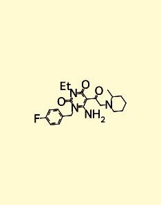 CCn1c(=O)c(C(=O)CN2CCCCC2C)c(N)n(Cc2ccc(F)cc2)c1=O